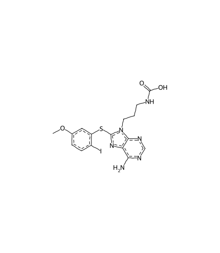 COc1ccc(I)c(Sc2nc3c(N)ncnc3n2CCCNC(=O)O)c1